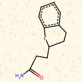 NC(=O)CCC1CCc2ccccc2C1